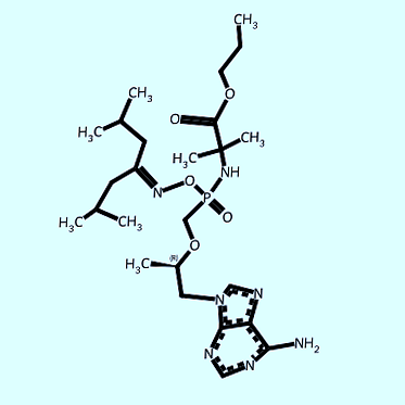 CCCOC(=O)C(C)(C)NP(=O)(CO[C@H](C)Cn1cnc2c(N)ncnc21)ON=C(CC(C)C)CC(C)C